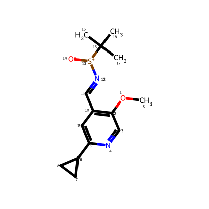 COc1cnc(C2CC2)cc1C=N[S+]([O-])C(C)(C)C